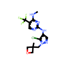 CNc1nc(Nc2cnn(CC3(C)COC3)c2Cl)ncc1C(F)(F)F